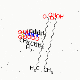 CCCCCCCCCCCCCCCCCC(=O)O.CCCCCCCCCCCCCCCCCC(=O)O.CCONC.CCONC.CCONC.COS(=O)(=O)O